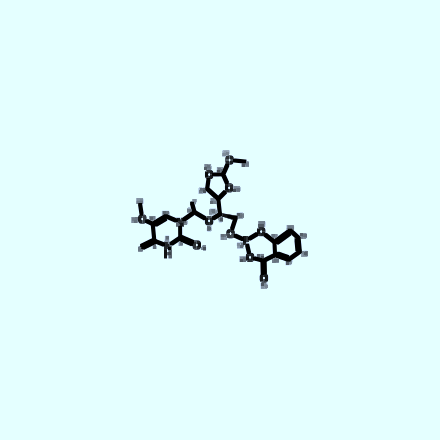 C=C1NC(=O)N(C(C)O[C@H](COP2OC(=O)c3ccccc3O2)C2COC(OC)O2)C=C1OC